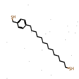 SCCCCCCCCCCCCCCc1ccc(CS)cc1